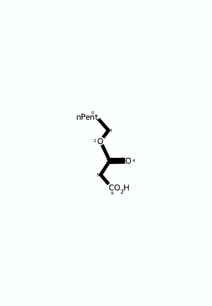 CCCCCCOC(=O)CC(=O)O